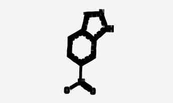 O=[N+]([O-])c1ccc2[c]n[nH]c2c1